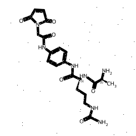 C[C@H](N)C(=O)N[C@@H](CCCNC(N)=O)C(=O)Nc1ccc(NC(=O)CN2C(=O)C=CC2=O)cc1